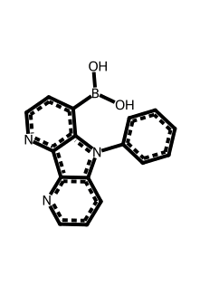 OB(O)c1ccnc2c3ncccc3n(-c3ccccc3)c12